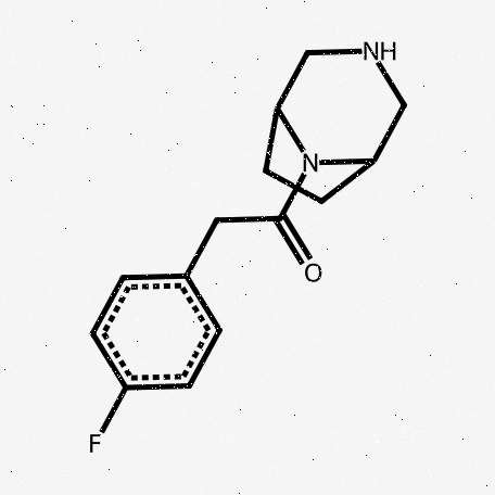 O=C(Cc1ccc(F)cc1)N1C2CCC1CNC2